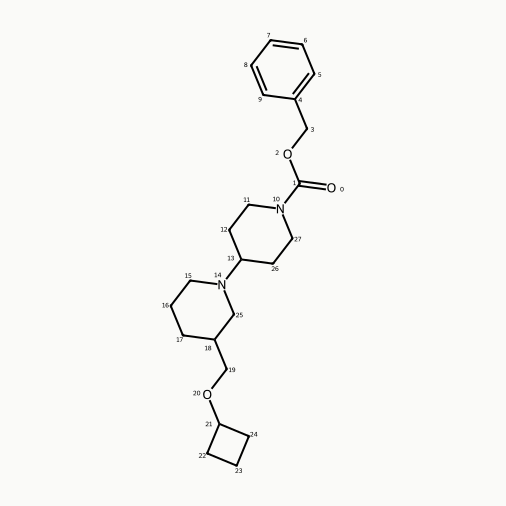 O=C(OCc1ccccc1)N1CCC(N2CCCC(COC3CCC3)C2)CC1